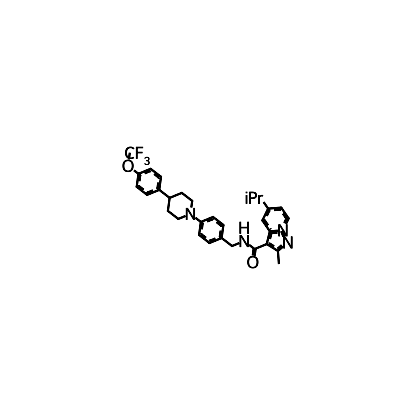 Cc1nn2ccc(C(C)C)cc2c1C(=O)NCc1ccc(N2CCC(c3ccc(OC(F)(F)F)cc3)CC2)cc1